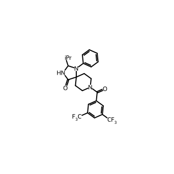 CC(C)C1NC(=O)C2(CCN(C(=O)c3cc(C(F)(F)F)cc(C(F)(F)F)c3)CC2)N1c1ccccc1